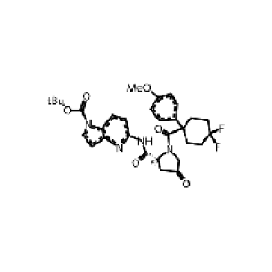 COc1ccc(C2(C(=O)N3CC(=O)C[C@@H]3C(=O)Nc3ccc4c(ccn4C(=O)OC(C)(C)C)n3)CCC(F)(F)CC2)cc1